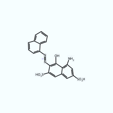 Nc1cc(S(=O)(=O)O)cc2cc(S(=O)(=O)O)c(/N=N/c3cccc4ccccc34)c(O)c12